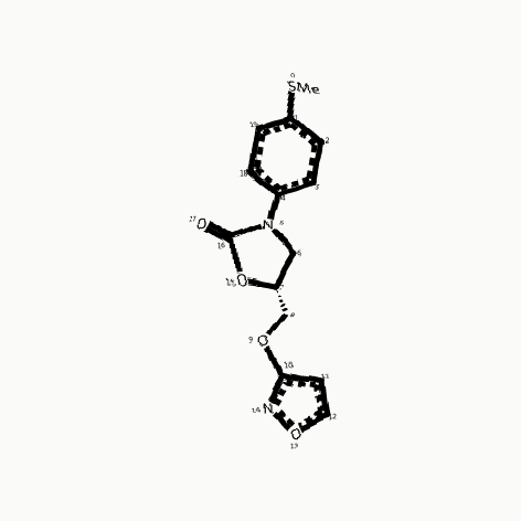 CSc1ccc(N2C[C@H](COc3ccon3)OC2=O)cc1